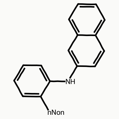 CCCCCCCCCc1ccccc1Nc1ccc2ccccc2c1